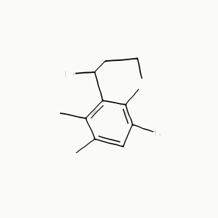 OC1CCOc2c(Br)cc(F)c(F)c21